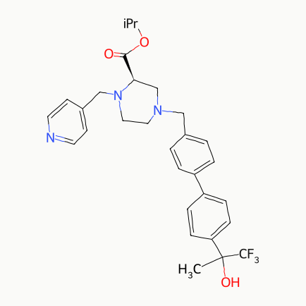 CC(C)OC(=O)[C@H]1CN(Cc2ccc(-c3ccc(C(C)(O)C(F)(F)F)cc3)cc2)CCN1Cc1ccncc1